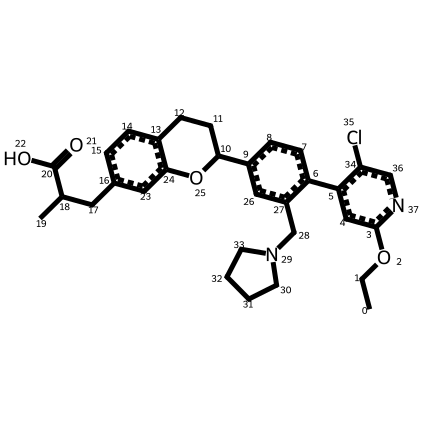 CCOc1cc(-c2ccc(C3CCc4ccc(CC(C)C(=O)O)cc4O3)cc2CN2CCCC2)c(Cl)cn1